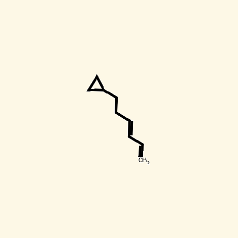 C=CC=CCCC1[CH]C1